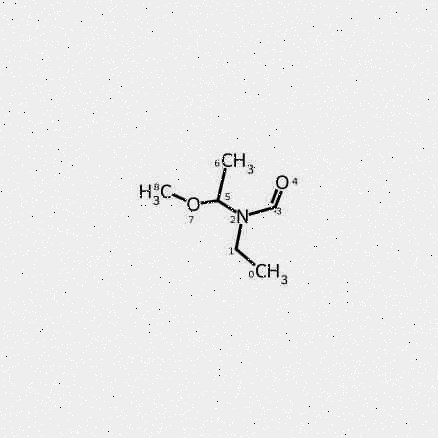 CCN([C]=O)C(C)OC